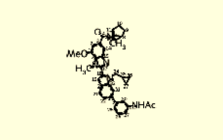 COc1cc(C(=O)N2CC3CCC2[C@@H]3C)cc2nc(-c3cc4ccc(-c5cccc(NC(C)=O)c5)cc4n3CC3CC3)n(C)c12